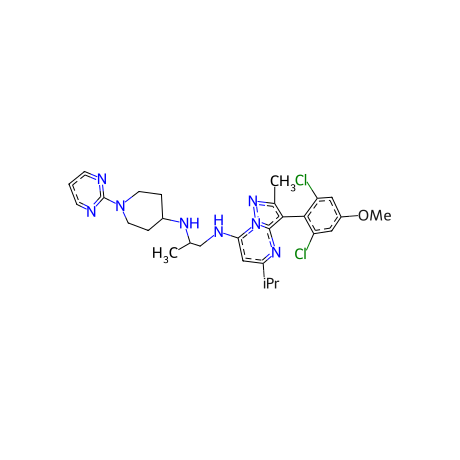 COc1cc(Cl)c(-c2c(C)nn3c(NCC(C)NC4CCN(c5ncccn5)CC4)cc(C(C)C)nc23)c(Cl)c1